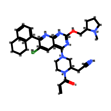 C=CC(=O)N1CCN(c2nc(OCC3CCCN3C)nc3nc(-c4cccc5c4CCCC5)c(Cl)cc23)CC1CC#N